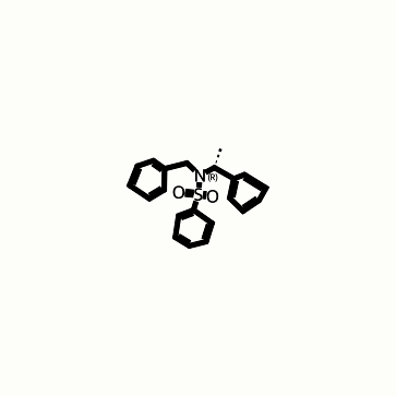 C[C@H](c1ccccc1)N(Cc1ccccc1)S(=O)(=O)c1ccccc1